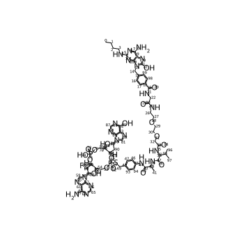 CCCCNc1nc(N)c2nc(O)n(Cc3ccc(C(=O)NCC(=O)NCCOCCOCC(=O)N[C@H](C(=O)N[C@@H](C)C(=O)Nc4ccc(CSP5(=O)OC[C@H]6O[C@@H](n7cnc8c(N)ncnc87)[C@H](F)[C@@H]6OP(=O)(O)OC[C@H]6O[C@@H](n7cnc8c(O)ncnc87)C[C@@H]6O5)cc4)C(C)C)cc3)c2n1